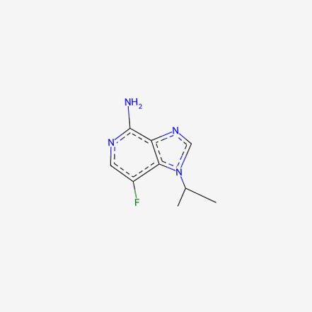 CC(C)n1cnc2c(N)ncc(F)c21